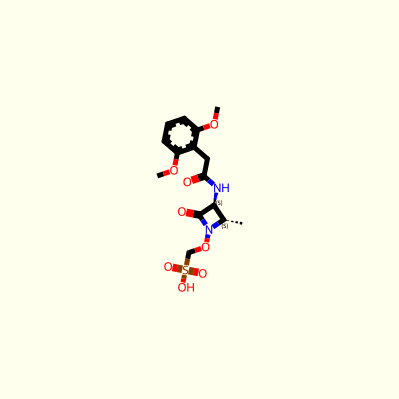 COc1cccc(OC)c1CC(=O)N[C@@H]1C(=O)N(OCS(=O)(=O)O)[C@H]1C